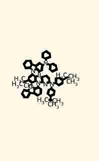 CC(C)(C)c1ccc(N(c2ccc(C(C)(C)C)cc2)c2ccc3c(n2)N(c2cccc4c2oc2ccccc24)c2cc(C(C)(C)C)cc4c2B3c2cc(N(c3ccccc3)c3ccccc3)cc3c5ccccc5n-4c23)cc1